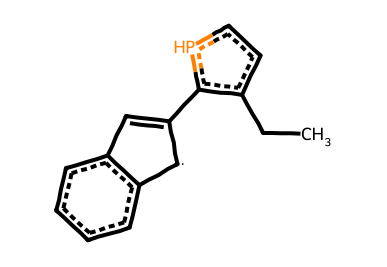 CCc1cc[pH]c1C1=Cc2ccccc2[CH]1